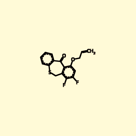 C=CCOc1cc(F)c(F)c2c1C(=O)c1ccccc1SC2